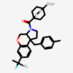 Cc1ccc(CC23CCN(C(=O)C45CCC(C(=O)O)(CC4)CC5)C2COc2cc(C(C)(F)C(F)(F)F)ccc23)cc1